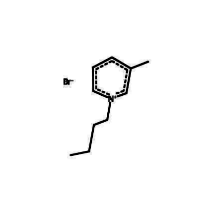 CCCC[n+]1cccc(C)c1.[Br-]